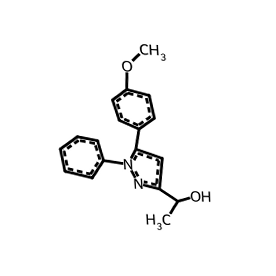 COc1ccc(-c2cc(C(C)O)nn2-c2ccccc2)cc1